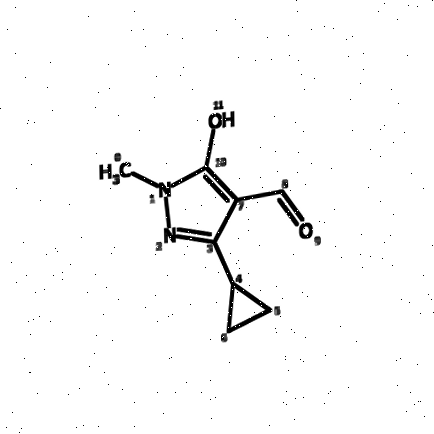 Cn1nc(C2CC2)c(C=O)c1O